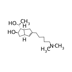 C[C@H](O)[C@@H]1[C@H]2CC(CCCCCN(C)C)=C[C@H]2C[C@H]1O